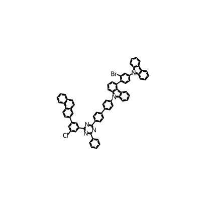 Clc1cc(-c2ccc3c(ccc4ccccc43)c2)cc(-c2nc(-c3ccccc3)nc(-c3ccc(-c4ccc(-n5c6ccccc6c6c(-c7ccc(-n8c9ccccc9c9ccccc98)cc7Br)cccc65)cc4)cc3)n2)c1